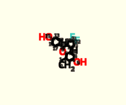 C=Cc1cc(O)cc2c1O[C@@H](c1ccc(O)cc1)[C@H]1CC(F)(F)C[C@@H]21